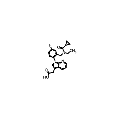 CCN(Cc1cc(F)ccc1-n1cc(CC(=O)O)c2cccnc21)C(=O)C1CC1